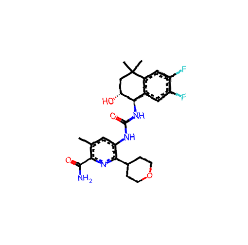 Cc1cc(NC(=O)N[C@@H]2c3cc(F)c(F)cc3C(C)(C)C[C@H]2O)c(C2CCOCC2)nc1C(N)=O